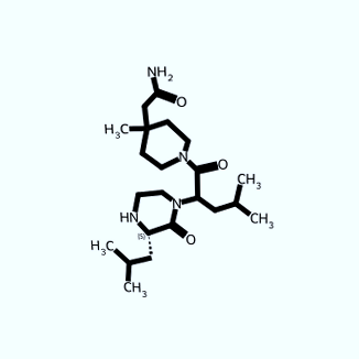 CC(C)CC(C(=O)N1CCC(C)(CC(N)=O)CC1)N1CCN[C@@H](CC(C)C)C1=O